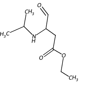 CCOC(=O)CC(C=O)NC(C)C